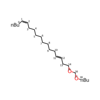 CCCC/C=C\CCCCCCCC/C=C/CCOCOCCCC